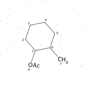 CC(=O)OC1CCCCC1C